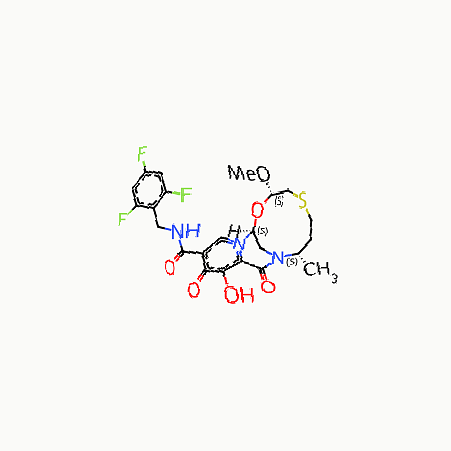 CO[C@@H]1CSCC[C@H](C)N2C[C@H](O1)n1cc(C(=O)NCc3c(F)cc(F)cc3F)c(=O)c(O)c1C2=O